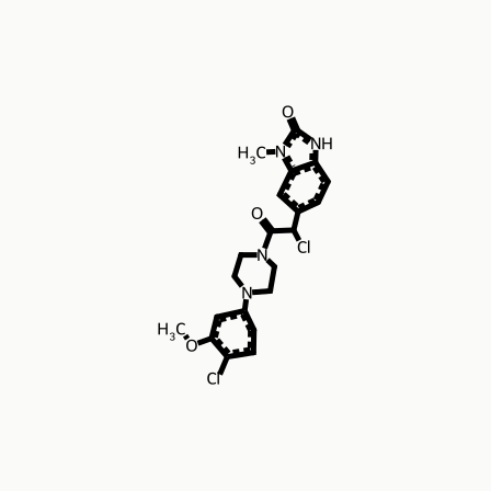 COc1cc(N2CCN(C(=O)C(Cl)c3ccc4[nH]c(=O)n(C)c4c3)CC2)ccc1Cl